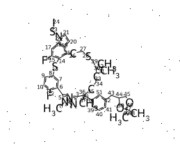 Cn1nc2nc1-c1cc(ccc1F)Sc1c(F)cc3c(ccn3SI)c1CCSCC(C)(C)CCC[C@]2(C)c1cccc(CC2COC(C)(C)O2)c1